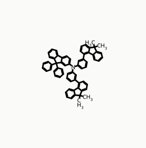 CC1(C)c2ccccc2-c2c(-c3cccc(N(c4cccc(-c5cccc6c5-c5ccccc5C6(C)C)c4)c4ccc5c(c4)C(c4ccccc4)(c4ccccc4)c4ccccc4-5)c3)cccc21